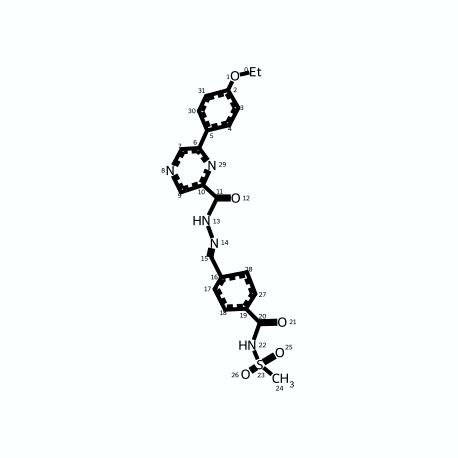 CCOc1ccc(-c2cncc(C(=O)NN=Cc3ccc(C(=O)NS(C)(=O)=O)cc3)n2)cc1